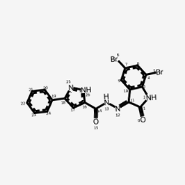 O=C1Nc2c(Br)cc(Br)cc2/C1=N\NC(=O)c1cc(-c2ccccc2)n[nH]1